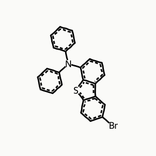 Brc1ccc2sc3c(N(c4ccccc4)c4ccccc4)cccc3c2c1